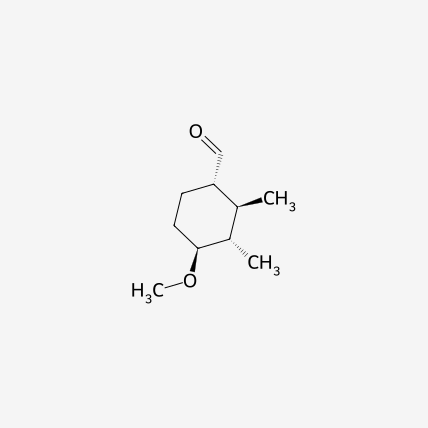 CO[C@H]1CC[C@H](C=O)[C@@H](C)[C@@H]1C